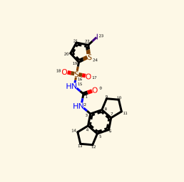 O=C(Nc1c2c(cc3c1CCC3)CCC2)NS(=O)(=O)c1ccc(I)s1